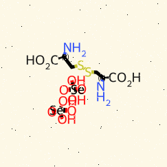 N[C@@H](CSSC[C@H](N)C(=O)O)C(=O)O.O=[Se](=O)(O)O.O=[Se](=O)(O)O